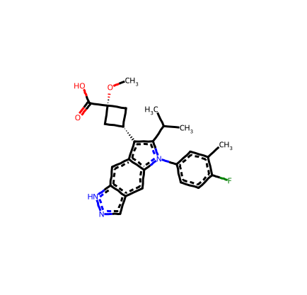 CO[C@]1(C(=O)O)C[C@H](c2c(C(C)C)n(-c3ccc(F)c(C)c3)c3cc4cn[nH]c4cc32)C1